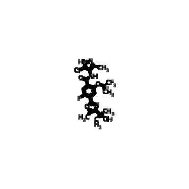 Cc1n[nH]c(Cl)c1NC(=O)c1cc(F)c(-c2nc(C(C)(C)O)c(C)o2)cc1O[C@@H](C)C(F)(F)F